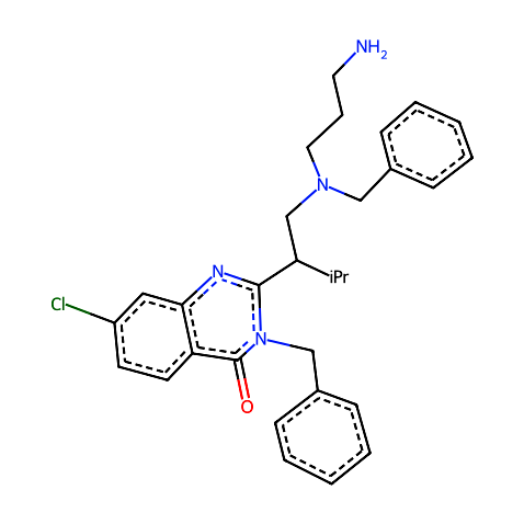 CC(C)C(CN(CCCN)Cc1ccccc1)c1nc2cc(Cl)ccc2c(=O)n1Cc1ccccc1